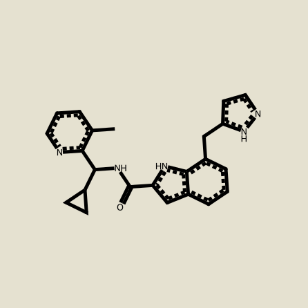 Cc1cccnc1C(NC(=O)c1cc2cccc(Cc3ccn[nH]3)c2[nH]1)C1CC1